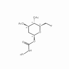 CCCNC(=O)O[C@H]1C[C@@H](OC(C)=O)[C@H](OC(C)=O)[C@@H](CF)O1